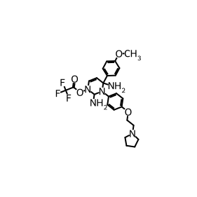 COc1ccc(C2(N)C=CN(OC(=O)C(F)(F)F)C(N)N2c2ccc(OCCN3CCCC3)cc2)cc1